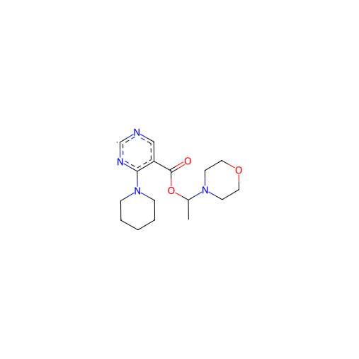 CC(OC(=O)c1cn[c]nc1N1CCCCC1)N1CCOCC1